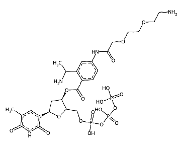 Cc1cn([C@H]2C[C@@H](OC(=O)c3ccc(NC(=O)COCCOCCN)cc3C(C)N)C(COP(=O)(O)OP(=O)(O)OP(=O)(O)O)O2)c(=O)[nH]c1=O